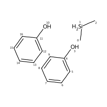 C[SiH2]C.Oc1ccccc1.Oc1ccccc1